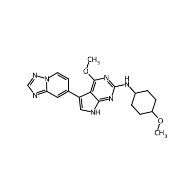 COc1nc(NC2CCC(OC)CC2)nc2[nH]cc(-c3ccn4ncnc4c3)c12